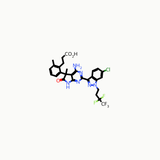 Cc1cccc(C2(C)C(=O)Nc3nc(-c4nn(CCC(F)(F)C(F)(F)F)c5cc(Cl)ccc45)nc(N)c32)c1CCC(=O)O